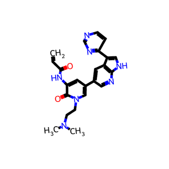 C=CC(=O)Nc1cc(-c2cnc3[nH]cc(-c4ccncn4)c3c2)cn(CCN(C)C)c1=O